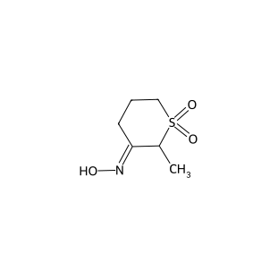 CC1C(=NO)CCCS1(=O)=O